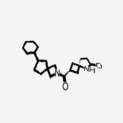 O=C1CC[C@]2(C[C@H](C(=O)N3CC4(CCC(C5CCCCC5)C4)C3)C2)N1